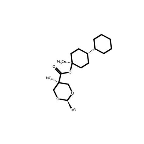 CCC[C@H]1OC[C@@](C#N)(C(=O)O[C@]2(C)CC[C@@H](C3CCCCC3)CC2)CO1